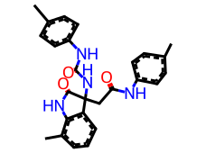 Cc1ccc(NC(=O)CC2(NC(=O)Nc3ccc(C)cc3)C(=O)Nc3c(C)cccc32)cc1